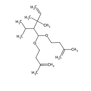 C=CC(C)(C)C(C(C)C)C(OCCC(=C)C)OCCC(=C)C